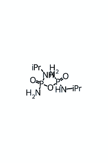 CC(C)NP(N)(=O)OP(N)(=O)NC(C)C